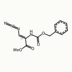 COC(=O)/C(=C/N=[N+]=[N-])NC(=O)OCc1ccccc1